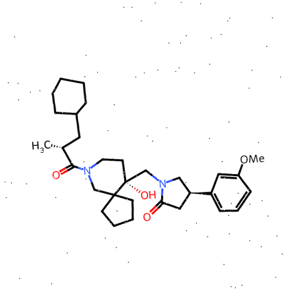 COc1cccc([C@H]2CC(=O)N(C[C@]3(O)CCN(C(=O)[C@H](C)CC4CCCCC4)CC34CCCC4)C2)c1